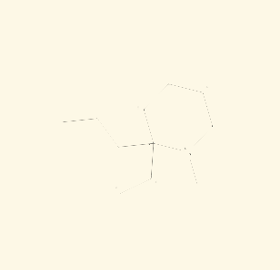 CCCC1(CC)CCCCN1C